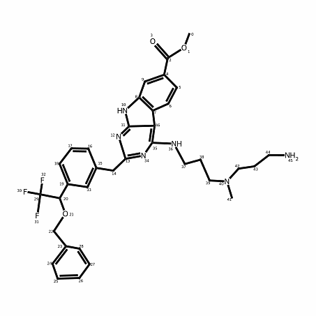 COC(=O)c1ccc2c(c1)[nH]c1nc(Cc3cccc(C(OCc4ccccc4)C(F)(F)F)c3)nc(NCCCN(C)CCCN)c12